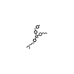 CCCCC1CCC(c2nc(-c3ccc(OCCCN(CC)CC)cc3)cn2-c2ccc(Oc3ccc(C)cc3)cc2)CC1